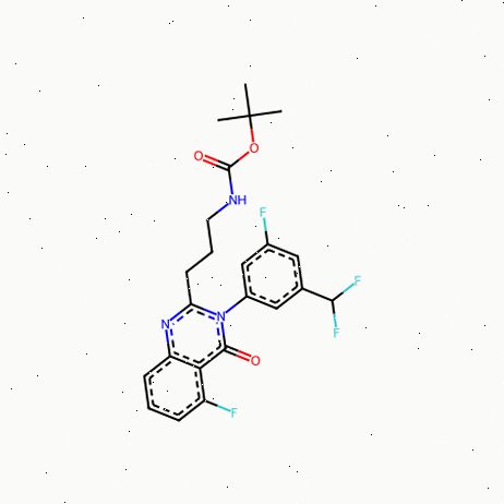 CC(C)(C)OC(=O)NCCCc1nc2cccc(F)c2c(=O)n1-c1cc(F)cc(C(F)F)c1